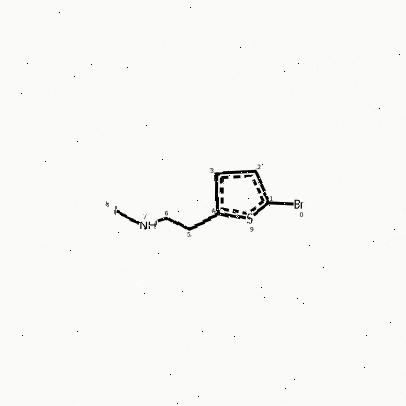 Brc1ccc(CCNI)s1